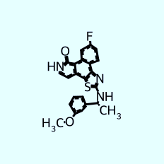 COc1cccc([C@H](C)Nc2nc3c4ccc(F)cc4c4c(=O)[nH]ccc4c3s2)c1